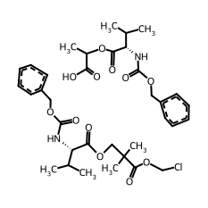 CC(C)[C@H](NC(=O)OCc1ccccc1)C(=O)OCC(C)(C)C(=O)OCCl.CC(OC(=O)[C@@H](NC(=O)OCc1ccccc1)C(C)C)C(=O)O